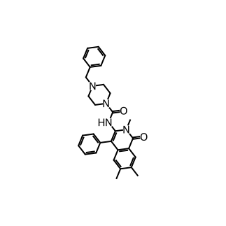 Cc1cc2c(-c3ccccc3)c(NC(=O)N3CCN(Cc4ccccc4)CC3)n(C)c(=O)c2cc1C